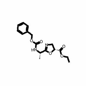 CCOC(=O)[C@H]1CN=C([C@H](C)NC(=O)OCc2ccccc2)O1